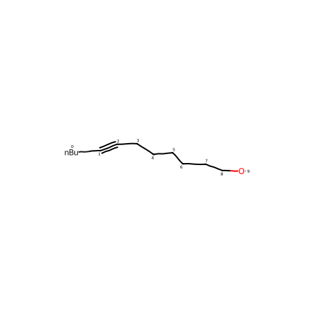 CCCCC#CCCCCCC[O]